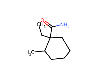 CCC1(C(N)=O)CCCCC1C